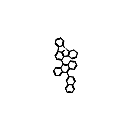 C1=Cc2c(n3c4ccccc4c4ccc(-c5c6ccccc6c(-c6ccc7ccccc7c6)c6ccccc56)c2c43)CC1